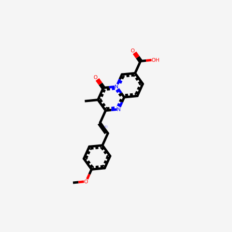 COc1ccc(/C=C/c2nc3ccc(C(=O)O)cn3c(=O)c2C)cc1